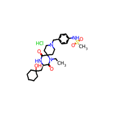 CCN1C(=O)[C@@H](CC2(O)CCCCC2)NC(=O)C12CCN(Cc1ccc(NS(C)(=O)=O)cc1)CC2.Cl